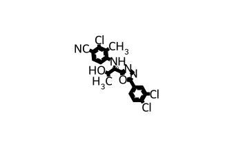 Cc1c(N[C@@H](c2nnc(-c3ccc(Cl)c(Cl)c3)o2)C(C)O)ccc(C#N)c1Cl